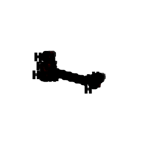 CCCNC(=O)[C@H](CCCCNC(=O)CCOCCOCCOCCOCCOCCOCCOCCOCCOCCOCCOCCOC(=O)Nc1cc(C[N+]2(C)CCCC[C@@H]2C(=O)N[C@H](C(=O)N(C)[C@H](C[C@@H](OCC)c2nc(C(=O)N[C@@H](Cc3ccccc3)C[C@H](C)C(=O)O)cs2)C(C)C)[C@@H](C)CC)ccc1O[C@@H]1O[C@H](C(=O)O)[C@@H](O)[C@H](O)[C@H]1O)NC(=O)[C@H](CNC(=O)OC(C)(C)C)N1C(=O)C=CC1=O